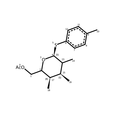 CC(=O)OCC1O[C@@H](Sc2ccc(C)cc2)C(C)[C@@H](C)[C@H]1C